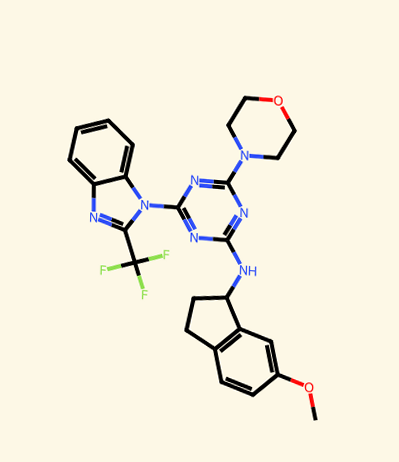 COc1ccc2c(c1)C(Nc1nc(N3CCOCC3)nc(-n3c(C(F)(F)F)nc4ccccc43)n1)CC2